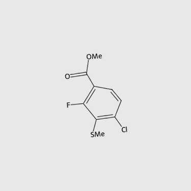 COC(=O)c1ccc(Cl)c(SC)c1F